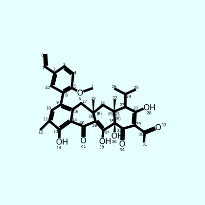 C=Cc1ccc(OC)c(-c2cc(C)c(O)c3c2C[C@]2(C)C[C@]4(C)C(C(C)C)C(O)=C(C(C)=O)C(=O)[C@]4(O)C(O)=C2C3=O)c1